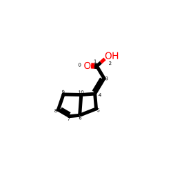 O=C(O)/C=C1/CC2C=CCC12